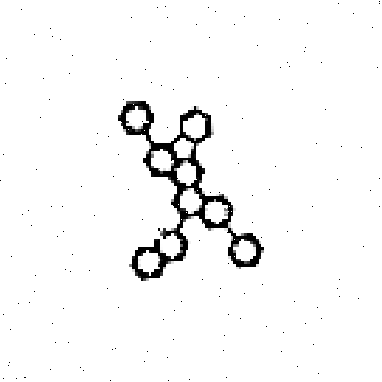 C1=CC2c3cc4c5ccc(-c6ccccc6)cc5c(-c5ccc6ccccc6n5)cc4c4ccc(-c5ccccc5)c(c34)C2C=C1